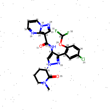 CN1CCC[C@H](n2cc(NC(=O)c3cnn4cccnc34)c(-c3cc(Cl)ccc3OC(F)F)n2)C1=O